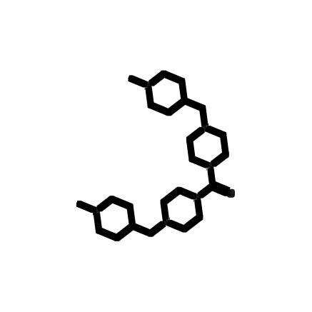 CN1CCC(CN2CCN(C(=O)N3CCN(CC4CCN(C)CC4)CC3)CC2)CC1